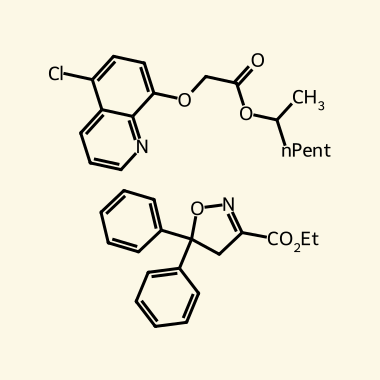 CCCCCC(C)OC(=O)COc1ccc(Cl)c2cccnc12.CCOC(=O)C1=NOC(c2ccccc2)(c2ccccc2)C1